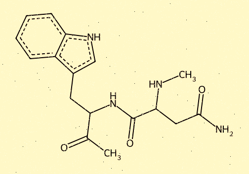 CNC(CC(N)=O)C(=O)NC(Cc1c[nH]c2ccccc12)C(C)=O